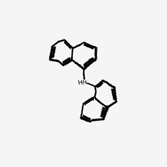 c1ccc2c(Nc3cccc4ccccc34)cccc2c1